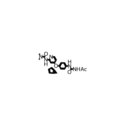 CC(=O)NC(=O)Nc1ccc(Oc2ccnc(NC(=O)N(C)C)c2)cc1.c1cc2cc-2c1